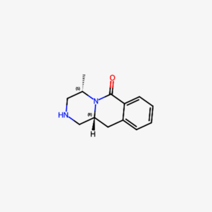 C[C@H]1CNC[C@H]2Cc3ccccc3C(=O)N21